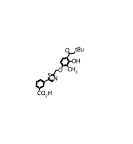 Cc1c(OCc2ncc(-c3cccc(C(=O)O)c3)s2)ccc(C(=O)CC(C)(C)C)c1O